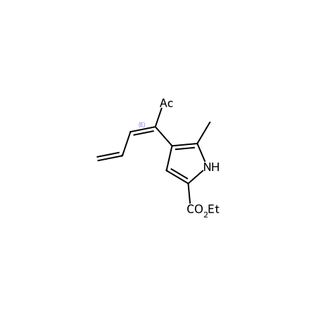 C=C/C=C(/C(C)=O)c1cc(C(=O)OCC)[nH]c1C